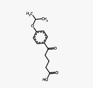 CC(C)Oc1ccc(C(=O)CCCC(=O)O)cc1